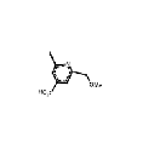 COCc1cc(C(=O)O)cc(I)n1